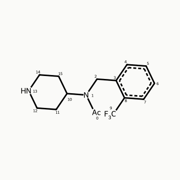 CC(=O)N(Cc1ccccc1C(F)(F)F)C1CCNCC1